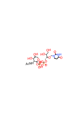 CC(=O)NC1C(O)[C@H](O)CO[C@@H]1O[P@@](=O)(O)O[P@@](=O)(O)OC[C@@H](OCn1ccc(=O)[nH]c1=O)C(O)CO